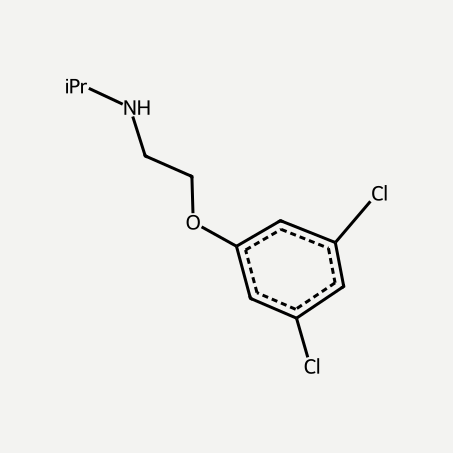 CC(C)NCCOc1cc(Cl)cc(Cl)c1